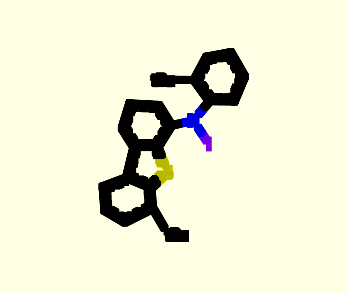 CC(C)(C)c1ccccc1N(I)c1cccc2c1sc1c(C(C)(C)C)cccc12